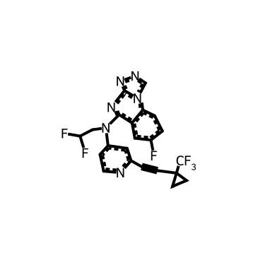 Fc1ccc2c(c1)c(N(CC(F)F)c1ccnc(C#CC3(C(F)(F)F)CC3)c1)nc1nncn12